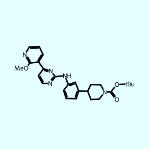 COc1ncccc1-c1ccnc(Nc2cccc(C3CCN(C(=O)OC(C)(C)C)CC3)c2)n1